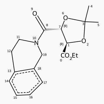 CCOC(=O)[C@@H]1OC(C)(C)O[C@H]1C(=O)N1CCc2ccccc2C1